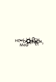 C#CCOc1ccc(C(=O)NC(C)(C)CC)cc1OC